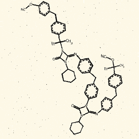 CCC(C)(OC#N)c1ccc(Cc2ccc(N=C3N(c4ccc(Cc5ccc(N=C6N(C7CCCCC7)C(=O)N6C(C)(CC)c6ccc(Cc7ccc(OC#N)cc7)cc6)cc5)cc4)C(=O)N3C3CCCCC3)cc2)cc1